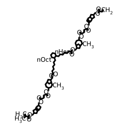 C=CC(=O)OCC1CC2C3CC(COC(=O)/C=C/C(=O)OCC4CCC5CC(CC5COC(=O)CCCCCCC5C(CCCCCC)CCC(CCCCCCCC)C5CCCCCCC(=O)OCC5CC6CCC(COC(=O)/C=C/C(=O)OCC7CC8CC7C7CC(COC(=O)C(=C)C)CC87)CC(C)C5C6)C(C)C4)C(C3)C2C1